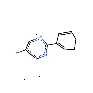 Ic1cnc(C2=CCCC=C2)nc1